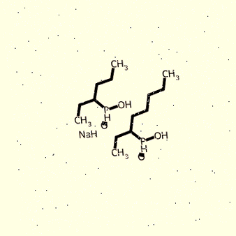 CCCC(CC)[PH](=O)O.CCCCCC(CC)[PH](=O)O.[NaH]